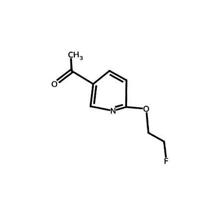 CC(=O)c1ccc(OCCF)nc1